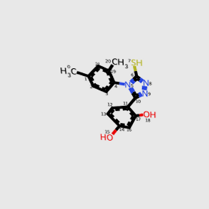 Cc1ccc(-n2c(S)nnc2-c2ccc(O)cc2O)c(C)c1